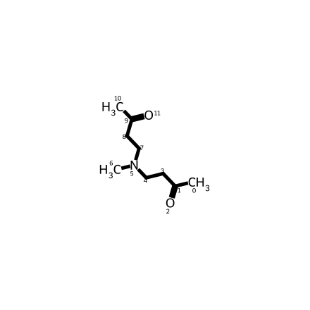 CC(=O)CCN(C)CCC(C)=O